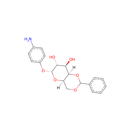 Nc1ccc(O[C@H]2O[C@@H]3COC(c4ccccc4)O[C@@H]3[C@H](O)[C@H]2O)cc1